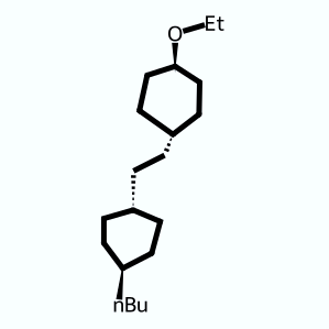 CCCC[C@H]1CC[C@H](CC[C@H]2CC[C@H](OCC)CC2)CC1